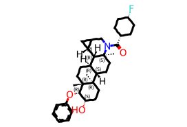 C[C@]12CC[C@H]3[C@@H](CC[C@@]4(C)[C@@H](Oc5ccccc5)[C@@H](O)CC[C@]34C)[C@@H]1[C@@H]1CC1CN2C(=O)[C@H]1CC[C@@H](F)CC1